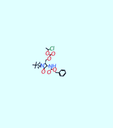 CC(Cl)OC(=O)OC[C@H]1[C@@H](NC(=O)OCc2ccccc2)C(=O)N1[Si](C)(C)C(C)(C)C